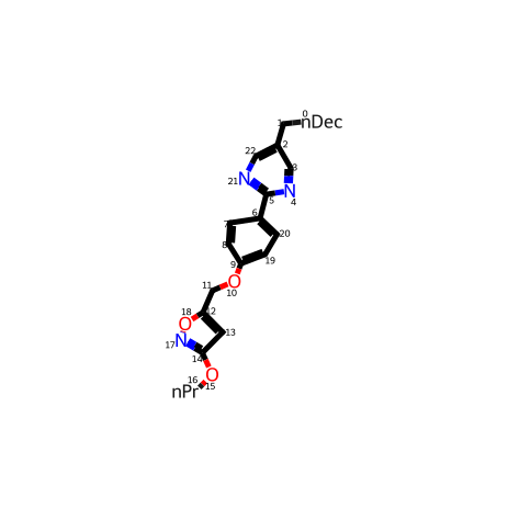 CCCCCCCCCCCc1cnc(-c2ccc(OCc3cc(OCCC)no3)cc2)nc1